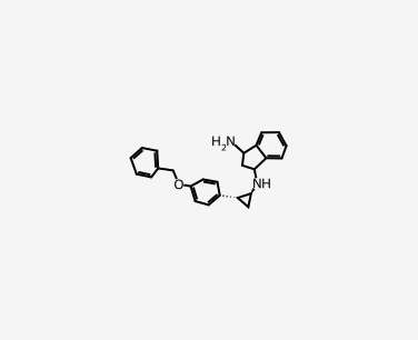 NC1CC(N[C@H]2C[C@@H]2c2ccc(OCc3ccccc3)cc2)c2ccccc21